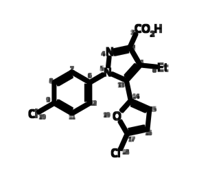 CCc1c(C(=O)O)nn(-c2ccc(Cl)cc2)c1-c1ccc(Cl)o1